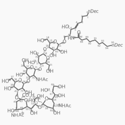 CCCCCCCCCCCCC/C=C/[C@@H](O)[C@H](CO[C@@H]1OC(CO)[C@@H](O[C@@H]2OC(CO)[C@H](O[C@@H]3OC(CO)[C@H](O)[C@H](O[C@@H]4OC(CO)[C@H](O)[C@H](O[C@]5(C(=O)O)CC(O)[C@@H](NC(C)=O)C([C@H](O)[C@@H](CO)O[C@]6(C(=O)O)CC(O)[C@@H](NC(C)=O)C([C@H](O)[C@H](O)CO)O6)O5)C4O)C3NC(C)=O)[C@H](O)C2O)[C@H](O)C1O)NC(=O)CCCCCCCCCCCCCCCCC